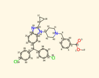 COC(=O)c1cccc(CN2CCC(n3c(C4CC4)nc4ccc(C(c5ccc(Cl)cc5)c5ccc(Cl)cc5)cc43)CC2)c1